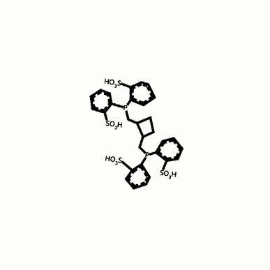 O=S(=O)(O)c1ccccc1P(CC1CCC1CP(c1ccccc1S(=O)(=O)O)c1ccccc1S(=O)(=O)O)c1ccccc1S(=O)(=O)O